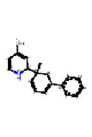 CC(C)(C)C1=CC(C2(C)C=CC=C(c3ccccc3)C2)NC=C1